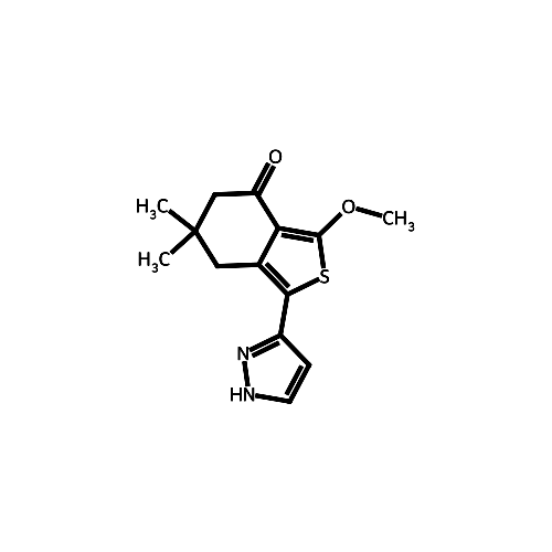 COc1sc(-c2cc[nH]n2)c2c1C(=O)CC(C)(C)C2